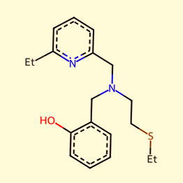 CCSCCN(Cc1cccc(CC)n1)Cc1ccccc1O